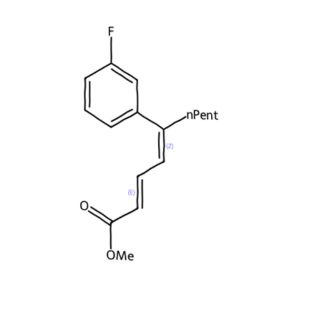 CCCCC/C(=C/C=C/C(=O)OC)c1cccc(F)c1